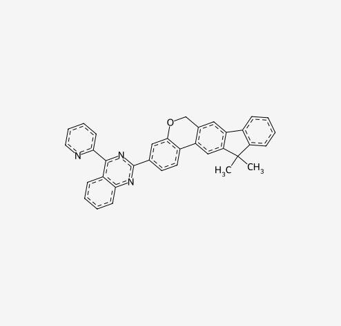 CC1(C)c2ccccc2-c2cc3c(cc21)-c1ccc(-c2nc(-c4ccccn4)c4ccccc4n2)cc1OC3